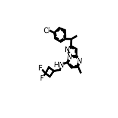 Cc1cc(NCC2CC(F)(F)C2)n2nc(C(C)c3ccc(Cl)cc3)cc2n1